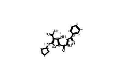 NC(=O)c1c(NC2CCCC2)sc(C(=O)c2cc(-c3ccccc3)no2)c1N